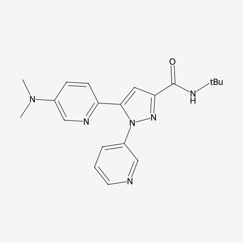 CN(C)c1ccc(-c2cc(C(=O)NC(C)(C)C)nn2-c2cccnc2)nc1